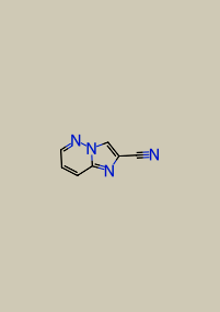 N#Cc1cn2ncccc2n1